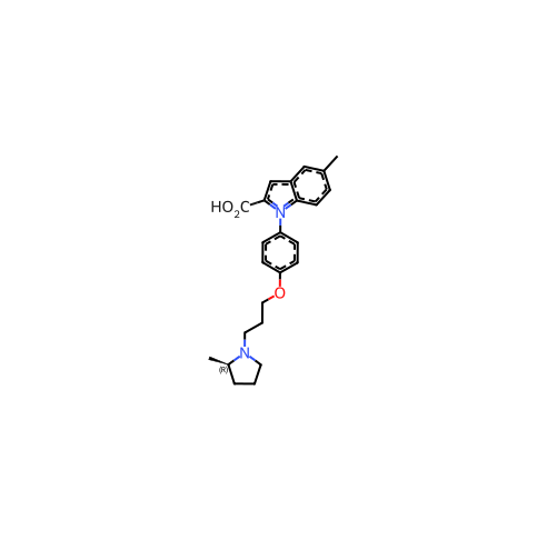 Cc1ccc2c(c1)cc(C(=O)O)n2-c1ccc(OCCCN2CCC[C@H]2C)cc1